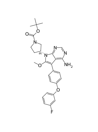 COc1c(-c2ccc(Oc3cccc(F)c3)cc2)c2c(N)ncnc2n1[C@@H]1CCN(C(=O)OC(C)(C)C)C1